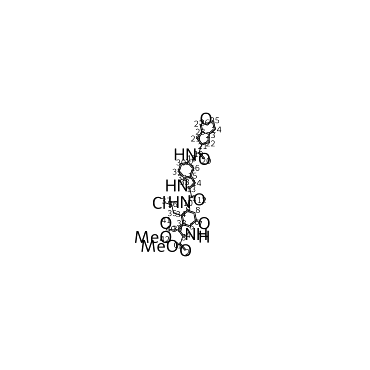 COC(=O)c1[nH]c2c(O)cc(NC(=O)c3cc4cc(NC(=O)c5cc6ccocc-6c5)ccc4[nH]3)c(CCCl)c2c1C(=O)OC